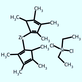 CC1=C(C)C(C)[C]([Zr][C]2=C(C)C(C)=C(C)C2C)=C1C.CC[Si](Cl)(Cl)CC